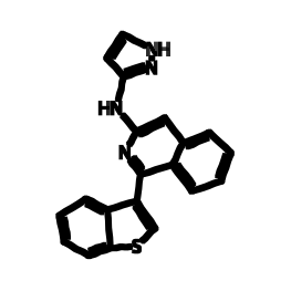 c1ccc2c(-c3csc4ccccc34)nc(Nc3cc[nH]n3)cc2c1